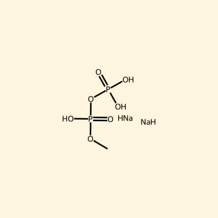 COP(=O)(O)OP(=O)(O)O.[NaH].[NaH]